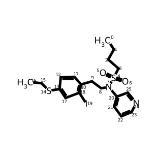 CCCCS(=O)(=O)N(CCc1ccc(SCC)cc1I)c1cccnc1